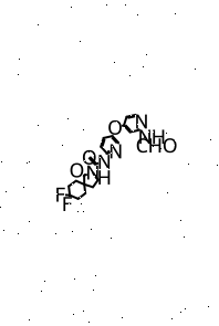 O=CNc1cc(Oc2ccc(NC(=O)N3CCC4(CCC(F)(F)CC4)C3=O)nc2)ccn1